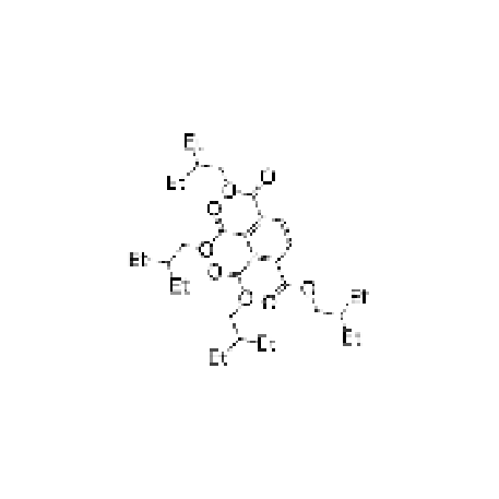 CCC(CC)COC(=O)c1ccc(C(=O)OCC(CC)CC)c(C(=O)OCC(CC)CC)c1C(=O)OCC(CC)CC